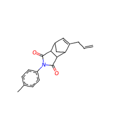 C=CCC1=CC2CC1C1C(=O)N(c3ccc(C)cc3)C(=O)C21